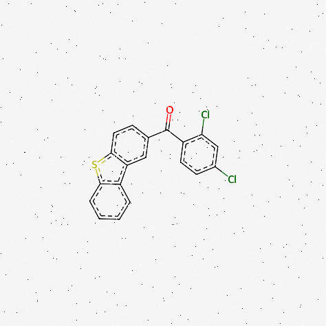 O=C(c1ccc2sc3ccccc3c2c1)c1ccc(Cl)cc1Cl